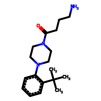 CC(C)(C)c1ccccc1N1CCN(C(=O)CCCN)CC1